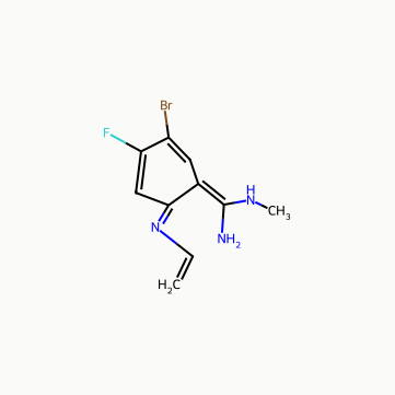 C=C/N=C1/C=C(F)C(Br)=C/C1=C(/N)NC